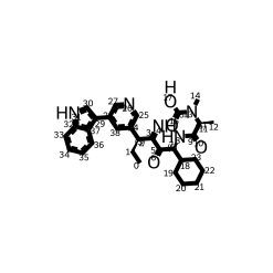 CC[C@H](C(=N)C(=O)[C@@H](NC(=O)[C@H](C)N(C)C(=O)O)C1CCCCC1)c1cncc(-c2c[nH]c3ccccc23)c1